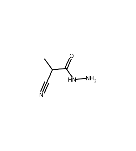 CC(C#N)C(=O)NN